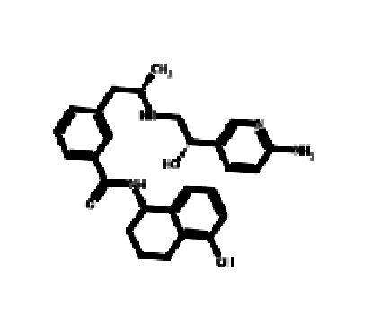 C[C@H](Cc1cccc(C(=O)NC2CCCc3c(O)cccc32)c1)NC[C@@H](O)c1ccc(N)nc1